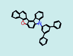 c1ccc(-c2cc(-c3ccccc3)cc(-n3c4ccccc4c4c5c(ccc43)oc3c4ccccc4ccc35)c2)cc1